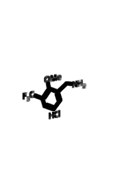 COc1c(CN)cccc1C(F)(F)F.Cl